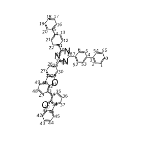 c1ccc(-c2ccc(-c3nc(-c4ccc(-c5ccccc5)cc4)nc(-c4ccc5c(c4)oc4c(-c6cccc7c6oc6ccccc67)cccc45)n3)cc2)cc1